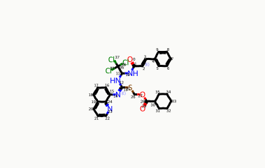 O=C(/C=C/c1ccccc1)NC(N/C(=N\c1cccc2cccnc12)SCOC(=O)C1CCCCC1)C(Cl)(Cl)Cl